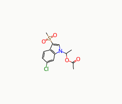 CC(=O)OC(C)n1cc(S(C)(=O)=O)c2ccc(Cl)cc21